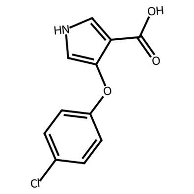 O=C(O)c1c[nH]cc1Oc1ccc(Cl)cc1